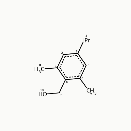 Cc1cc(C(C)C)cc(C)c1CO